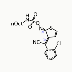 CCCCCCCCNS(=O)(=O)O/N=C1\SC=C\C1=C(\C#N)c1ccccc1Cl